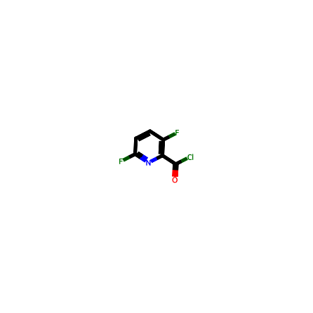 O=C(Cl)c1nc(F)ccc1F